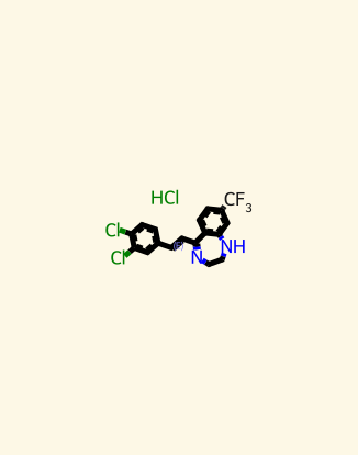 Cl.FC(F)(F)c1ccc2c(c1)NCCN=C2/C=C/c1ccc(Cl)c(Cl)c1